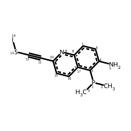 CP(C)c1c(N)ccc2nc(C#CSI)ccc12